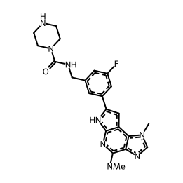 CNc1nc2[nH]c(-c3cc(F)cc(CNC(=O)N4CCNCC4)c3)cc2c2c1ncn2C